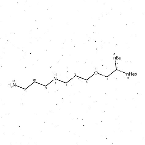 CCCCCCC(CCCC)COCCCNCCCN